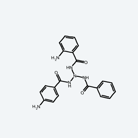 Nc1ccc(C(=O)NN(NC(=O)c2ccccc2)NC(=O)c2ccccc2N)cc1